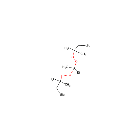 CCC(C)(OOC(C)(C)CC(C)(C)C)OOC(C)(C)CC(C)(C)C